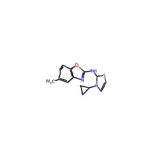 Cc1ccc2oc(NC3SC=CN3C3CC3)nc2c1